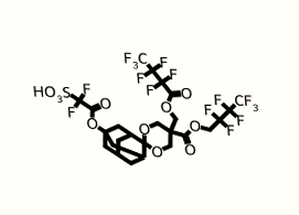 O=C(OCC(F)(F)C(F)(F)C(F)(F)F)C1(COC(=O)C(F)(F)C(F)(F)C(F)(F)F)COC2(OC1)C1CC3CC2CC(OC(=O)C(F)(F)S(=O)(=O)O)(C3)C1